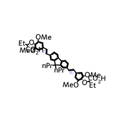 CCCC1(CCC)c2cc(/C=C/c3cc(OC)c(OC(CC)C(=O)O)c(OC)c3)ccc2-c2ccc(/C=C/c3cc(OC)c(OC(CC)C(=O)O)c(OC)c3)cc21